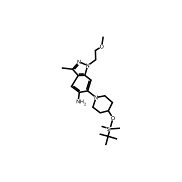 COCCn1nc(C)c2cc(N)c(N3CCC(O[Si](C)(C)C(C)(C)C)CC3)cc21